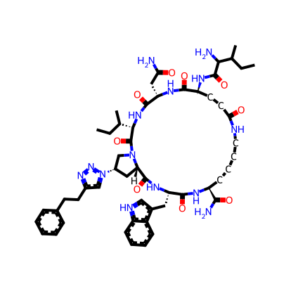 CCC(C)C(N)C(=O)N[C@H]1CCC(=O)NCCCC[C@@H](C(N)=O)NC(=O)[C@H](Cc2c[nH]c3ccccc23)NC(=O)[C@@H]2C[C@H](n3cc(CCc4ccccc4)nn3)CN2C(=O)[C@H](C(C)CC)NC(=O)[C@H](CC(N)=O)NC1=O